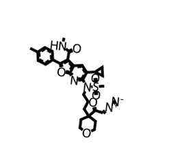 CNC(=O)c1c(-c2ccc(C)cc2)oc2nc(N(CCCC3(C(=O)C=[N+]=[N-])CCOCC3)S(C)(=O)=O)c(C3CC3)cc12